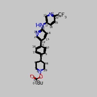 CC(C)(C)C(=O)ON1CCC(c2ccc(-c3ccc(Nc4ccc(C(F)(F)F)nc4)nc3)cc2)CC1